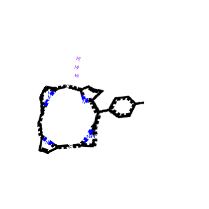 Cc1ccc(-c2c3nc(cc4ccc(cc5nc(cc6ccc2[nH]6)C=C5)[nH]4)C=C3)cc1.I.I.I